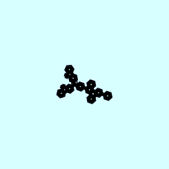 CC1(C)c2ccccc2-c2ccc(N(c3ccc(-c4cc5c6ccccc6c6cc(-c7ccccc7)ccc6c5c5ccccc45)cc3)c3ccc4c(c3)C(C)(C)c3ccccc3-4)cc21